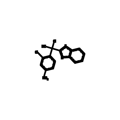 N#CC(Cl)(c1nc2ccccc2s1)c1ccc([N+](=O)[O-])cc1Cl